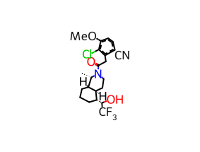 COc1ccc(C#N)c(CC(=O)N2CC[C@@H]3[C@H](CCC[C@H]3C(O)C(F)(F)F)[C@@H]2C)c1Cl